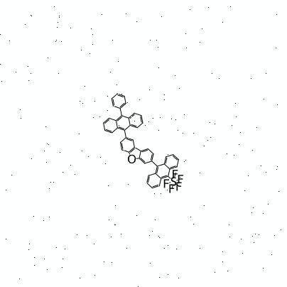 FS(F)(F)(F)(F)c1c2ccccc2c(-c2ccc3c(c2)oc2ccc(-c4c5ccccc5c(-c5ccccc5)c5ccccc45)cc23)c2ccccc12